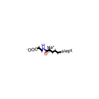 CCCCCCCCCCCC(=O)NCCC(=O)[O-].[Na+]